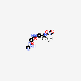 O=C(Cc1ccc2nc(Nc3cccnc3)oc2c1)Nc1ccc(C2CN(C(=O)CN3CCOCC3)CC2C(=O)O)cc1